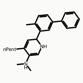 CCCCCC1=CC(c2cc(-c3ccccc3)ccc2C)NC=C1[SiH](C)C